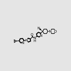 N#C[C@]1(c2ccc(NC(=O)c3ccn(-c4ccc(C5CC5)cn4)c3)cn2)CC[C@H](N2CCOCC2)CC1